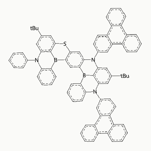 CC(C)(C)c1cc2c3c(c1)N(c1ccccc1)c1ccccc1B3c1cc3c(cc1S2)N(c1ccc2c4ccccc4c4ccccc4c2c1)c1cc(C(C)(C)C)cc2c1B3c1ccccc1N2c1ccc2c3ccccc3c3ccccc3c2c1